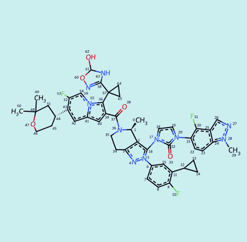 C[C@H]1c2c(nn(-c3ccc(F)c(C4CC4)c3)c2-n2ccn(-c3ccc4c(cnn4C)c3F)c2=O)CCN1C(=O)c1cc2cc([C@@H]3CCOC(C)(C)C3)c(F)cn2c1C1(C2=NOC(O)N2)CC1